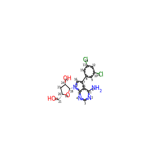 Nc1ncnc2c1c(-c1cc(Cl)cc(Cl)c1)cn2[C@@H]1O[C@H](CO)C[C@H]1O